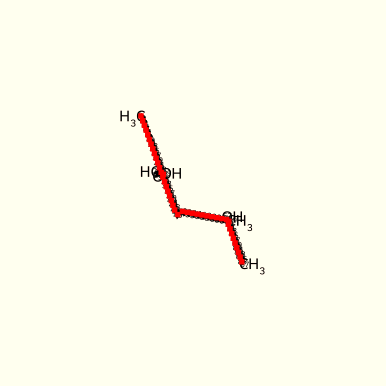 CCCCCCCCCCCCCCCCCCCCCCCCC(C(=O)O)[C@H](O)CCCCCCCCCCCCCCCC1CC1CCCCCCCCCCCCCCCCCC[C@H](O)[C@@H](C)CCCCCCCCCCCCCCCCCC